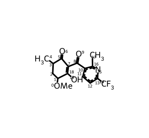 COC1CC(C)C(=O)C(C(=O)c2ccc(C(F)(F)F)nc2C)=C1O